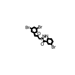 O=c1c2cc(Br)ccc2nnn1Cc1cc2cc(Br)cc(Br)c2o1